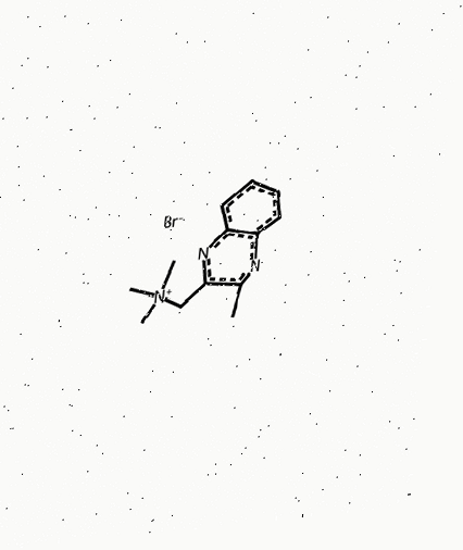 Cc1nc2ccccc2nc1C[N+](C)(C)C.[Br-]